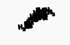 CC(C)(C)C1CN=Cc2sc(NC(=O)Cc3ccc(S(N)(=O)=O)cc3)c(C#N)c21